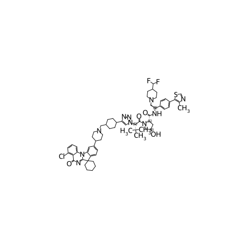 Cc1ncsc1-c1ccc([C@H](CN2CCC(C(F)F)CC2)NC(=O)[C@@H]2C[C@@H](O)CN2C(=O)[C@@H](n2cc(C3CCC(CN4CCC(c5ccc6c(c5)-n5c(nc(=O)c7c(Cl)cccc75)C65CCCCC5)CC4)CC3)nn2)C(C)(C)C)cc1